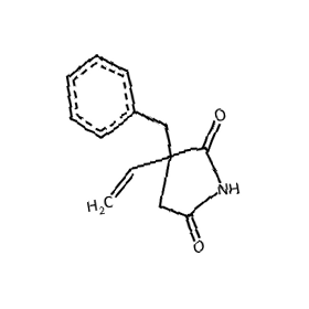 C=CC1(Cc2ccccc2)CC(=O)NC1=O